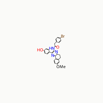 COc1ccc2c(c1)CCc1nc(NC(=O)Cc3ccc(Br)cc3)c(-c3ccc(O)cc3)nc1-2